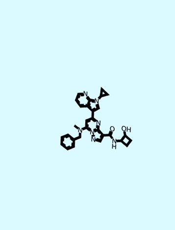 CN(Cc1ccccc1)c1cc(-c2cn(C3CC3)c3ncccc23)nc2c(C(=O)NC3CCC3O)cnn12